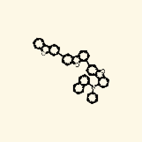 c1ccc(N(c2cccc3ccccc23)c2cccc3oc4cc(-c5cccc6c5oc5ccc(-c7ccc8c(c7)oc7ccccc78)cc56)ccc4c23)cc1